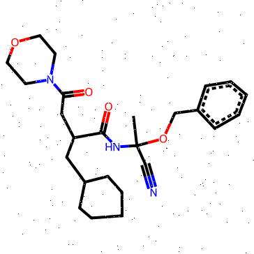 CC(C#N)(NC(=O)C(CC(=O)N1CCOCC1)CC1CCCCC1)OCc1ccccc1